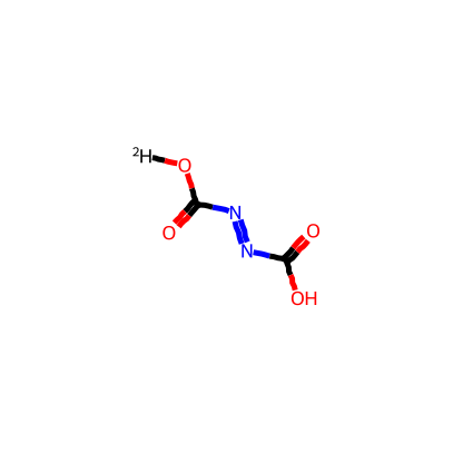 [2H]OC(=O)N=NC(=O)O